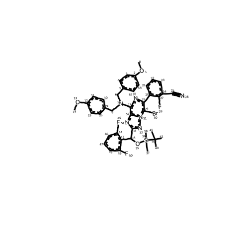 COc1ccc(CN(Cc2ccc(OC)cc2)c2nc(-c3cccc(C#N)c3F)c(Br)n3nc(C(O[Si](C)(C)C(C)(C)C)c4c(F)cccc4F)nc23)cc1